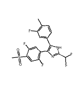 Cc1ccc(-c2[nH]c(C(F)F)nc2-c2cc(F)c(S(C)(=O)=O)cc2F)cc1F